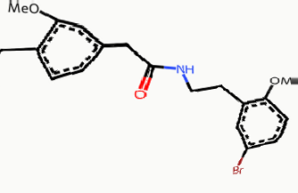 COc1cc(CC(=O)NCCc2cc(Br)ccc2OC)ccc1CO